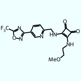 COCCNc1c(NCc2ccc(-c3noc(C(F)(F)F)n3)cn2)c(=O)c1=O